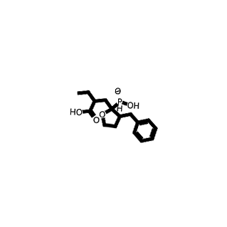 CCC(CC1([PH](=O)O)OCCC1Cc1ccccc1)C(=O)O